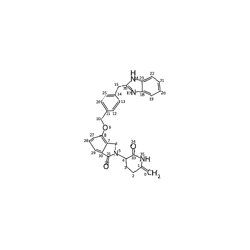 C=C1CCC(N2Cc3c(OCc4ccc(Cc5nc6ccccc6[nH]5)cc4)cccc3C2=O)C(=O)N1